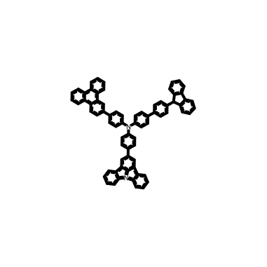 c1ccc2c(c1)-c1ccccc1C2c1ccc(-c2ccc(N(c3ccc(-c4ccc5c6ccccc6c6ccccc6c5c4)cc3)c3ccc(-c4cc5c6ccccc6n6c7ccccc7c(c4)c56)cc3)cc2)cc1